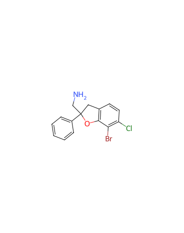 NCC1(c2ccccc2)Cc2ccc(Cl)c(Br)c2O1